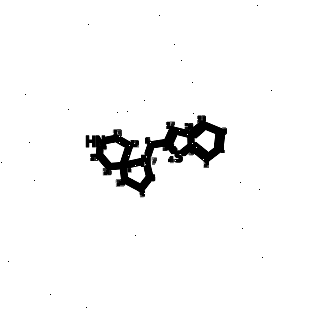 c1ccc2sc(CN3CCCC34CCNCC4)cc2c1